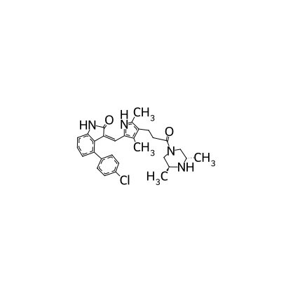 Cc1[nH]c(/C=C2\C(=O)Nc3cccc(-c4ccc(Cl)cc4)c32)c(C)c1CCC(=O)N1C[C@H](C)N[C@@H](C)C1